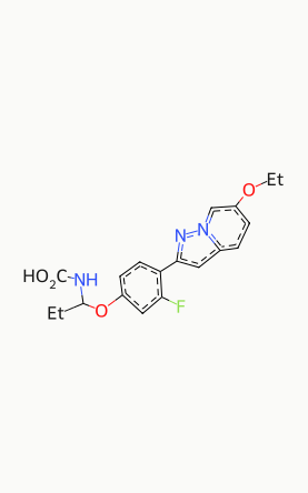 CCOc1ccc2cc(-c3ccc(OC(CC)NC(=O)O)cc3F)nn2c1